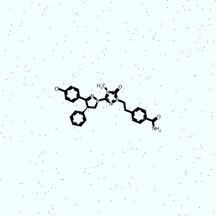 Cn1c(N2C[C@@H](c3ccccc3)C(c3ccc(Cl)cc3)=N2)nn(CCc2ccc(C(N)=O)cc2)c1=O